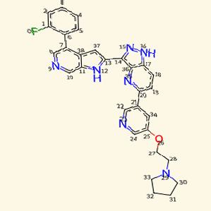 Fc1ccccc1-c1cncc2[nH]c(-c3n[nH]c4ccc(-c5cncc(OCCN6CCCC6)c5)nc34)cc12